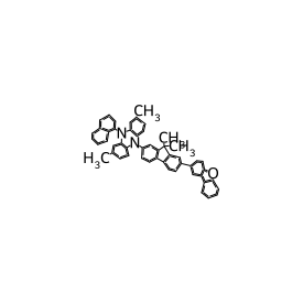 Cc1ccc2c(c1)N(c1cccc3ccccc13)c1cc(C)ccc1N2c1ccc2c(c1)C(C)(C)c1cc(-c3ccc4oc5ccccc5c4c3)ccc1-2